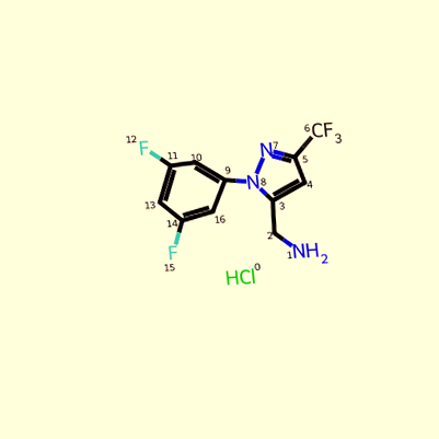 Cl.NCc1cc(C(F)(F)F)nn1-c1cc(F)cc(F)c1